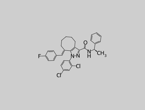 C[C@@H](NC(=O)c1nn(-c2ccc(Cl)cc2Cl)c2c1CCCCC/C2=C\c1ccc(F)cc1)c1ccccc1